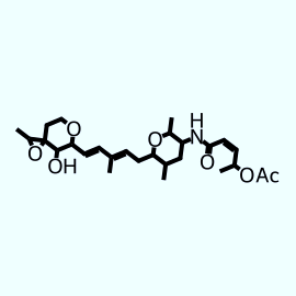 CC(=O)OC(C)/C=C\C(=O)NC1CC(C)C(C/C=C(C)/C=C/C2OCCC3(OC3C)C2O)OC1C